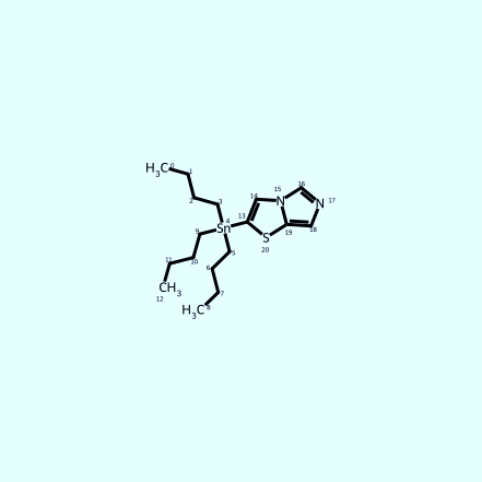 CCC[CH2][Sn]([CH2]CCC)([CH2]CCC)[c]1cn2cncc2s1